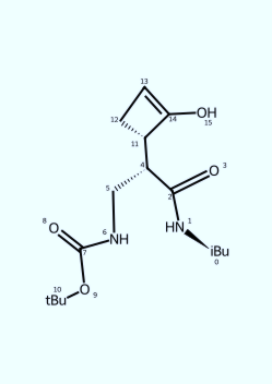 CC[C@H](C)NC(=O)[C@H](CNC(=O)OC(C)(C)C)[C@@H]1CC=C1O